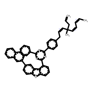 C=CCC(C)(/C=C\C=C/C)/C=C\Cc1ccc(-c2nc(-c3ccccc3)nc(-c3cccc4oc5ccc(-c6ccc7ccccc7c6)cc5c34)n2)cc1